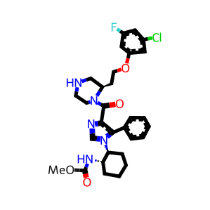 COC(=O)N[C@H]1CCCC[C@@H]1n1cnc(C(=O)N2CCNC[C@H]2CCOc2cc(F)cc(Cl)c2)c1-c1ccccc1